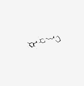 COc1cc(N)c(Cl)cc1C(=O)NC1CCN(CCCCC(=O)N2CCCCC2)CC1OC